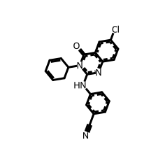 N#Cc1cccc(Nc2nc3ccc(Cl)cc3c(=O)n2C2C=CC=CC2)c1